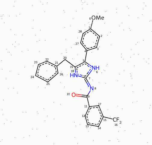 COc1ccc(-c2[nH]/c(=N/C(=O)c3cccc(C(F)(F)F)c3)[nH]c2Cc2ccccc2)cc1